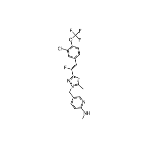 CNc1ccc(Cn2nc(/C(F)=C/c3ccc(OC(F)(F)F)c(Cl)c3)cc2C)cn1